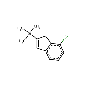 C[Si](C)(C)C1=Cc2cccc(Br)c2C1